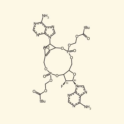 CC(C)(C)C(=O)OCOP1(=O)OCC2O[C@@H](n3cnc4c(N)ncnc43)[C@@H](F)C2OP(=O)(OCOC(=O)C(C)(C)C)OCC2=C(O)C(O1)C(n1cnc3c(N)ncnc31)O2